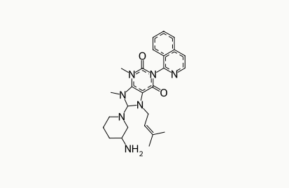 CC(C)=CCN1c2c(n(C)c(=O)n(-c3nccc4ccccc34)c2=O)N(C)C1N1CCCC(N)C1